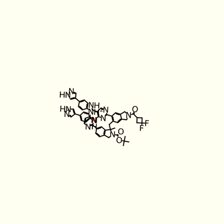 CC(C)(C)OC(=O)N1Cc2ccc(-c3nccc(Nc4ccc(-c5cn[nH]c5)cc4)n3)cc2C1(C)Cc1cc2c(cc1-c1ncc(CN)c(Nc3ccc(-c4cn[nH]c4)cc3)n1)CN(C(=O)C1CC(F)(F)C1)C2